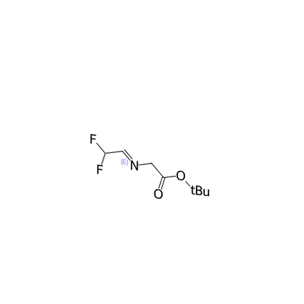 CC(C)(C)OC(=O)C/N=C/C(F)F